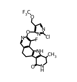 CC1CNC(=O)c2c1[nH]c1c2CCc2cnc(Oc3nc(Cl)ncc3COC(F)(F)F)c(F)c2-1